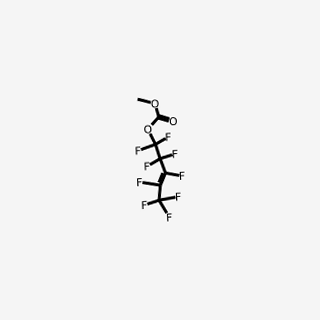 COC(=O)OC(F)(F)C(F)(F)C(F)=C(F)C(F)(F)F